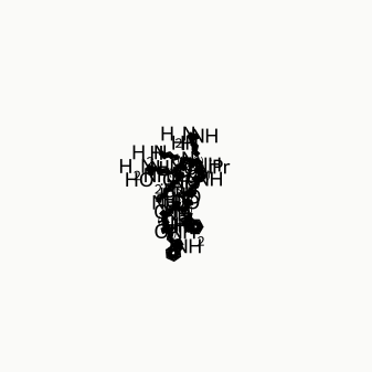 CC[C@H](C)[C@H](NC(=O)[C@H](Cc1c[nH]c2ccccc12)NC(=O)[C@H](C)NC(=O)[C@H](C)NC(=O)[C@@H](N)Cc1c[nH]c2ccccc12)C(=O)NCC(=O)N[C@@H](CC(C)C)C(=O)N[C@@H](CCCNC(=N)N)C(=O)N[C@@H](CCCCN)C(=O)N[C@@H](CCCNC(=N)N)C(=O)N[C@@H](CCCCN)C(=O)O